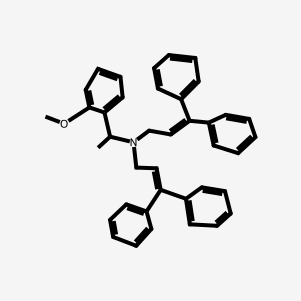 COc1ccccc1C(C)N(CC=C(c1ccccc1)c1ccccc1)CC=C(c1ccccc1)c1ccccc1